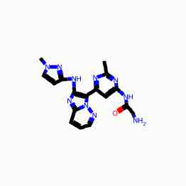 Cc1nc(NC(=O)CN)cc(-c2c(Nc3ccn(C)n3)nc3cccnn23)n1